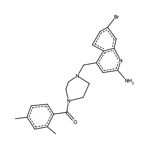 Cc1ccc(C(=O)N2CCN(Cc3cc(N)nc4cc(Br)ccc34)CC2)c(C)c1